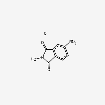 O=C1c2ccc([N+](=O)[O-])cc2C(=O)N1O.[K]